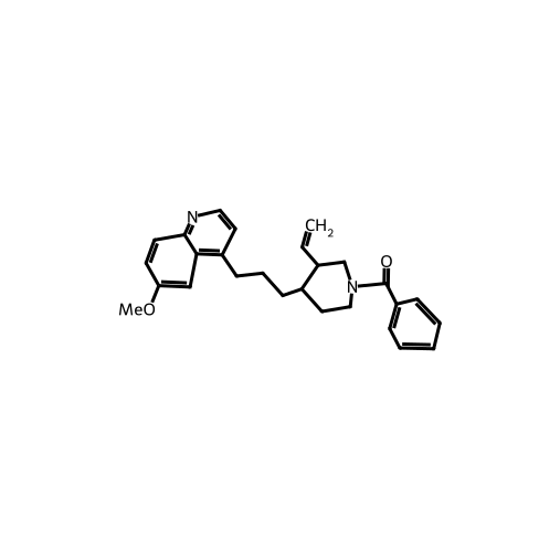 C=CC1CN(C(=O)c2ccccc2)CCC1CCCc1ccnc2ccc(OC)cc12